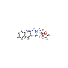 c1ccc2nc(CN3CCC4(CC3)OCCO4)ccc2c1